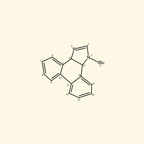 CC(C)(C)N1C=NC2c3ccccc3-c3ccccc3C21